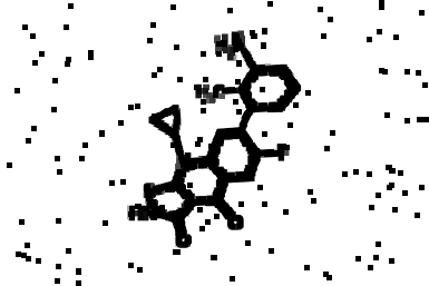 Cc1c(N)cccc1-c1cc2c(cc1F)c(=O)c1c(=O)[nH]sc1n2C1CC1